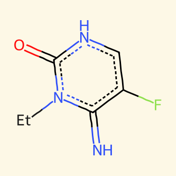 CCn1c(=O)[nH]cc(F)c1=N